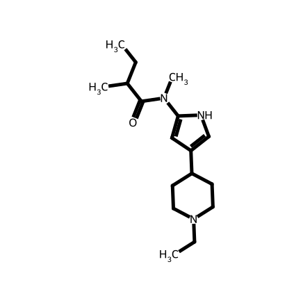 CCC(C)C(=O)N(C)c1cc(C2CCN(CC)CC2)c[nH]1